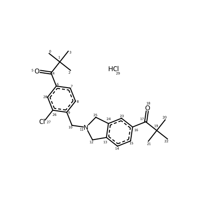 CC(C)(C)C(=O)c1ccc(CN2Cc3ccc(C(=O)C(C)(C)C)cc3C2)c(Cl)c1.Cl